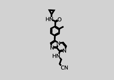 Cc1cc(-c2cnc3c(NCCC#N)nccn23)ccc1C(=O)NC1CC1